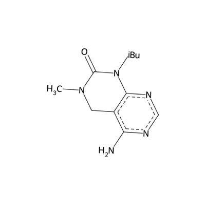 CCC(C)N1C(=O)N(C)Cc2c(N)ncnc21